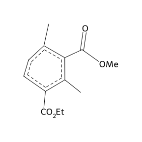 CCOC(=O)c1ccc(C)c(C(=O)OC)c1C